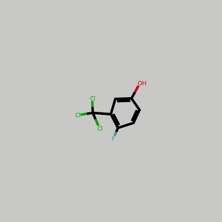 Oc1ccc(F)c(C(Cl)(Cl)Cl)c1